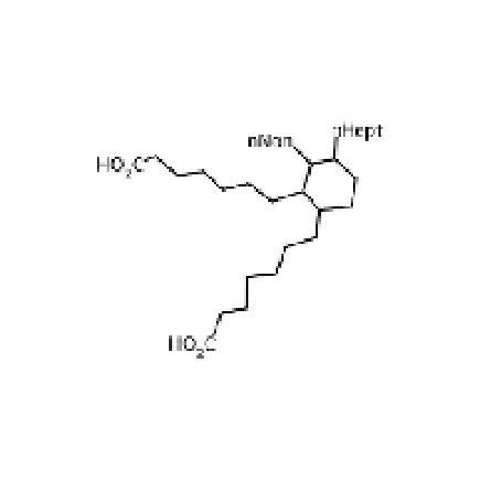 CCCCCCCCCC1C(CCCCCCC)CCC(CCCCCCC(=O)O)C1CCCCCCC(=O)O